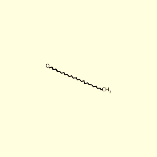 CCCCCCCCCCCCCCCCCCCCCCCC=CC=C[C]=O